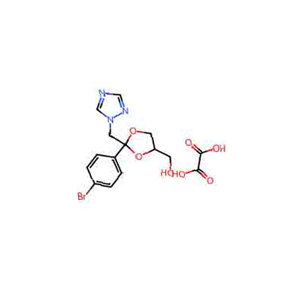 O=C(O)C(=O)O.OCC1COC(Cn2cncn2)(c2ccc(Br)cc2)O1